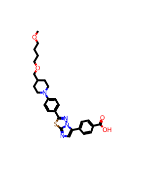 COCCCCOCC1CCN(c2ccc(-c3nn4c(-c5ccc(C(=O)O)cc5)cnc4s3)cc2)CC1